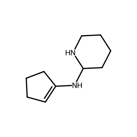 C1=C(NC2CCCCN2)CCC1